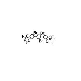 FC(F)(F)c1cc(Br)c(-c2cc(Br)c(-c3cc(C(F)(F)F)c(C(F)(F)F)cc3Br)cc2Br)cc1C(F)(F)F